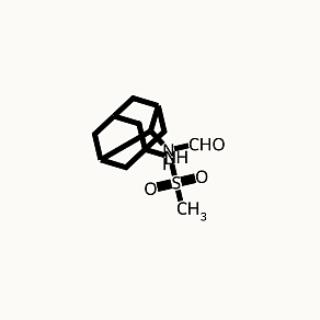 CS(=O)(=O)NC12CC3CC(C1)C(NC=O)C(C3)C2